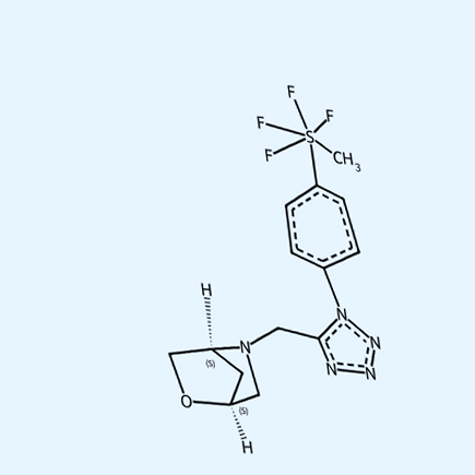 CS(F)(F)(F)(F)c1ccc(-n2nnnc2CN2C[C@@H]3C[C@H]2CO3)cc1